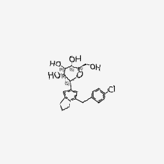 OC[C@H]1O[C@@H](c2cc3c(c(Cc4ccc(Cl)cc4)c2)CCC3)[C@H](O)[C@@H](O)[C@@H]1O